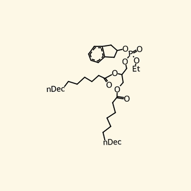 CCCCCCCCCCCCCCCC(=O)OCC(COP(=O)(OCC)OC1Cc2ccccc2C1)OC(=O)CCCCCCCCCCCCCCC